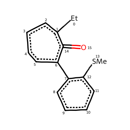 CCc1ccccc(-c2ccccc2SC)c1=O